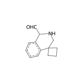 O=CC1NCC2(CCC2)c2ccccc21